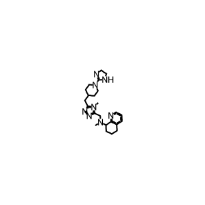 CN(Cc1nnc(CC2CCN(C3=NCCN3)CC2)n1C)C1CCCc2cccnc21